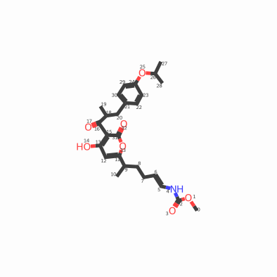 COC(=O)N/C=C/CCC(C)c1cc(O)c(C(=O)C(C)Cc2ccc(OC(C)C)cc2)c(=O)o1